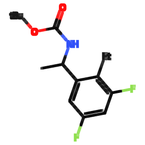 CCc1c(F)cc(F)cc1C(C)NC(=O)OC(C)(C)C